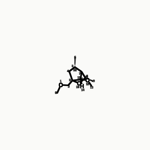 COCC12C[C@H](C)C([C@H](C)O1)[C@@H]2OC